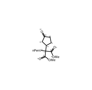 CCCCCC(C(=O)OC)(C(=O)OC)C1CCC(=O)C1